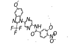 COc1ccc2c(c1)nc(C(F)(F)F)n2-c1cnc(NC(=O)c2ccc([N+](=O)[O-])c(OC)c2)cn1